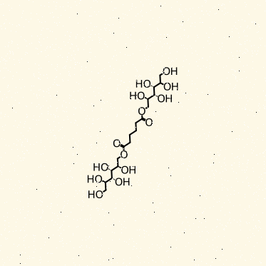 O=C(CCCCC(=O)OC[C@@H](O)[C@@H](O)[C@H](O)C(O)CO)OC[C@@H](O)[C@@H](O)[C@H](O)C(O)CO